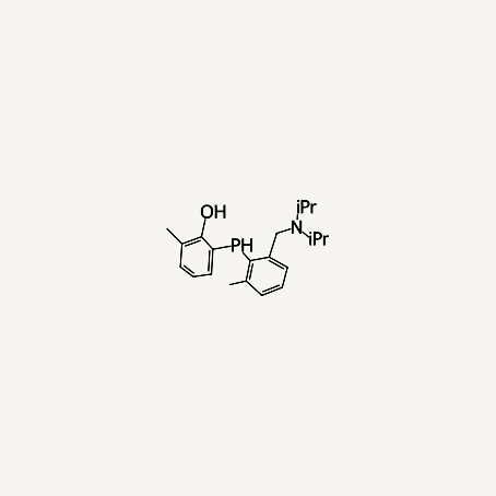 Cc1cccc(Pc2c(C)cccc2CN(C(C)C)C(C)C)c1O